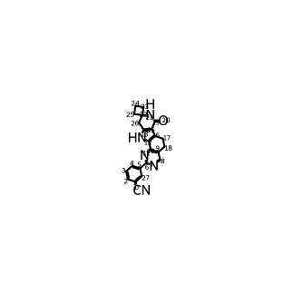 N#Cc1cccc(-c2ncc3c(n2)-c2[nH]c4c(c2CC3)C(=O)NC2(CCC2)C4)c1